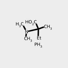 CCC(C)(C(=O)O)N(C)C.P